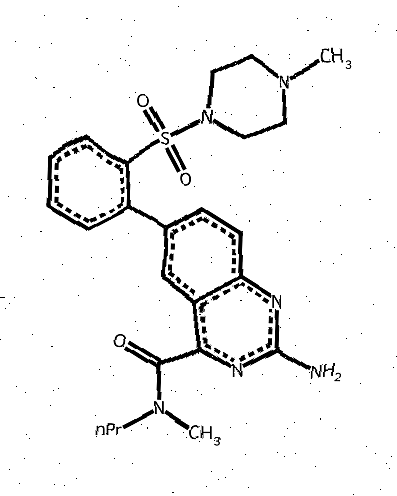 CCCN(C)C(=O)c1nc(N)nc2ccc(-c3ccccc3S(=O)(=O)N3CCN(C)CC3)cc12